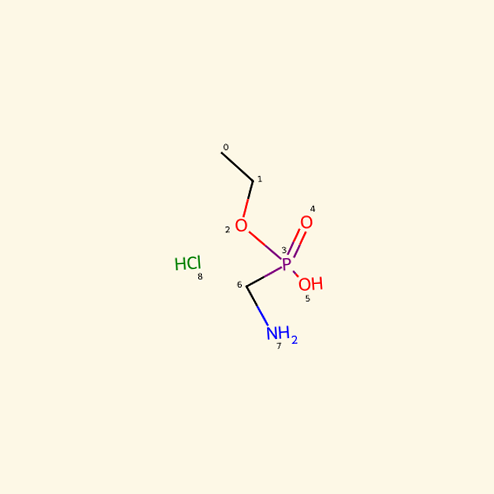 CCOP(=O)(O)CN.Cl